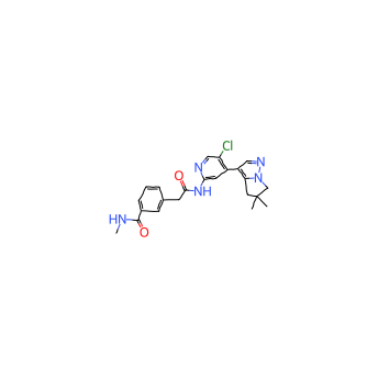 CNC(=O)c1cccc(CC(=O)Nc2cc(-c3cnn4c3CC(C)(C)C4)c(Cl)cn2)c1